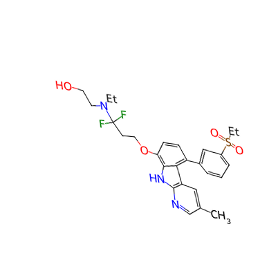 CCN(CCO)C(F)(F)CCOc1ccc(-c2cccc(S(=O)(=O)CC)c2)c2c1[nH]c1ncc(C)cc12